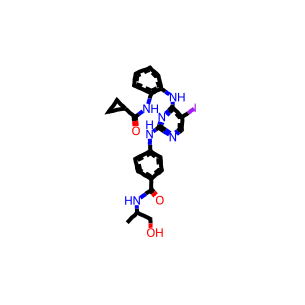 CC(CO)NC(=O)c1ccc(Nc2ncc(I)c(Nc3ccccc3NC(=O)C3CC3)n2)cc1